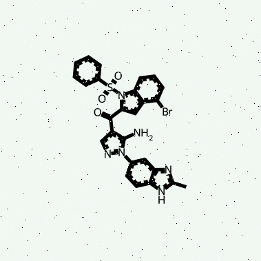 Cc1nc2cc(-n3ncc(C(=O)c4cc5c(Br)cccc5n4S(=O)(=O)c4ccccc4)c3N)ccc2[nH]1